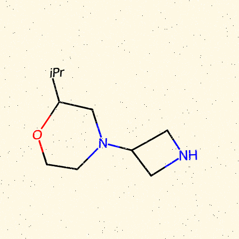 CC(C)C1CN(C2CNC2)CCO1